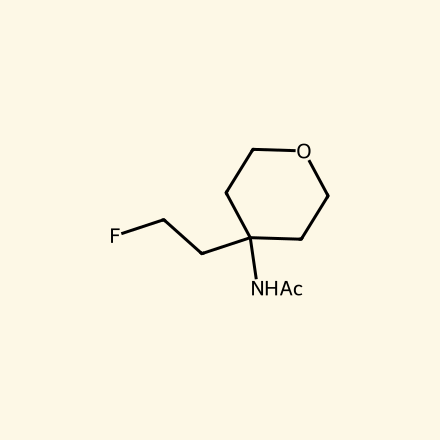 CC(=O)NC1(CCF)CCOCC1